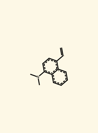 C=[C]c1ccc(N(C)C)c2ccccc12